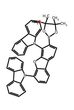 CC1(C)OB(c2ccc3c(oc4c(-n5c6ccccc6c6ccccc65)cccc43)c2-n2c3ccccc3c3ccccc32)OC1(C)C